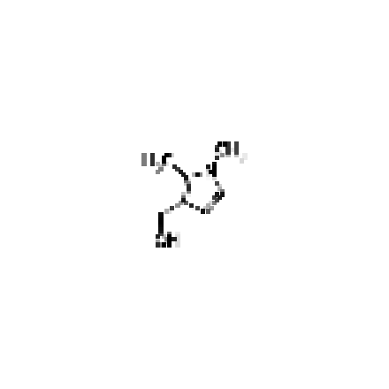 Cc1c(CO)ccn1C